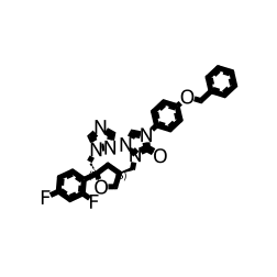 O=c1n(-c2ccc(OCc3ccccc3)cc2)cnn1C[C@H]1CO[C@@](Cn2cncn2)(c2ccc(F)cc2F)C1